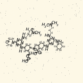 CN(C)CCCNc1nc(Nc2ccccc2)nc(Nc2ccc(/C=C/c3ccc(Nc4nc(NCCCN(C)C)nc(N5CCOCC5)n4)cc3SOOO)c(S(=O)(=O)O)c2)n1